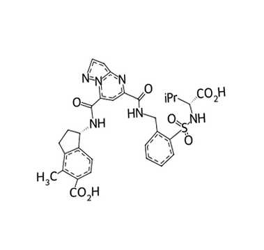 Cc1c(C(=O)O)ccc2c1CC[C@@H]2NC(=O)c1cc(C(=O)NCc2ccccc2S(=O)(=O)N[C@@H](C(=O)O)C(C)C)nc2ccnn12